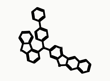 c1ccc(-c2ccc(N(c3cnc4c(c3)oc3cc5ccccc5cc34)c3cccc4sc5ccccc5c34)cc2)cc1